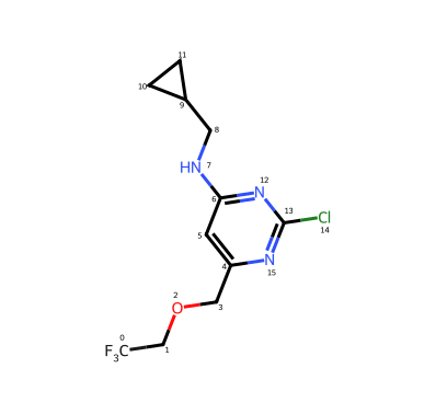 FC(F)(F)COCc1cc(NCC2CC2)nc(Cl)n1